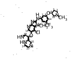 CN1CC[C@H](Oc2cc(Nc3nc4ncc(O/C(C=N)=C5\C=NC=CN5)c(Cl)c4n3C)cc(C(F)(F)F)c2)C1